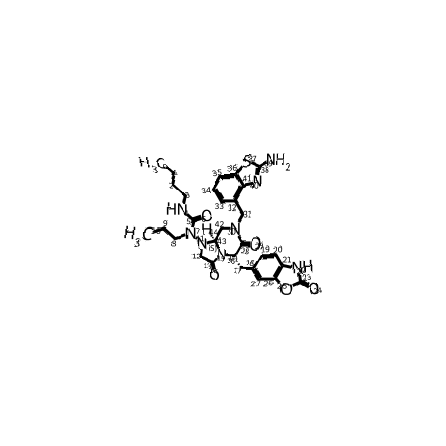 CCCCNC(=O)N(CCC)N1CC(=O)N2[C@@H](Cc3ccc4[nH]c(=O)oc4c3)C(=O)N(Cc3cccc4sc(N)nc34)C[C@@H]21